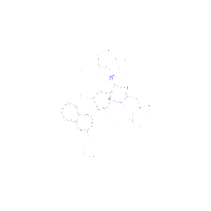 COCOc1cc(-c2c(F)cc3c(N4C[C@@H]5CC[C@](C)(C4)N5C(=O)OC(C)(C)C)nc(CC4(CN(C)C)CC4)nc3c2F)c2ccccc2c1